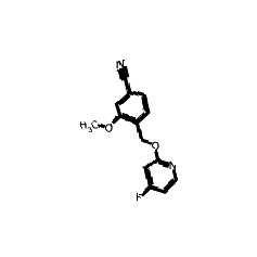 COc1cc(C#N)ccc1COc1cc(F)ccn1